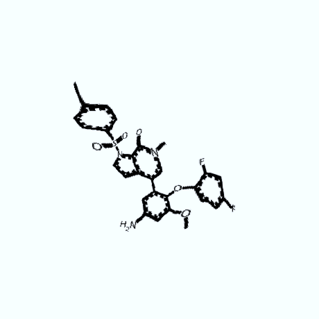 COc1cc(N)cc(-c2cn(C)c(=O)c3c2ccn3S(=O)(=O)c2ccc(C)cc2)c1Oc1ccc(F)cc1F